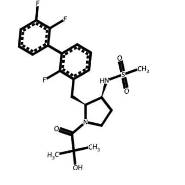 CC(C)(O)C(=O)N1CC[C@H](NS(C)(=O)=O)[C@@H]1Cc1cccc(-c2cccc(F)c2F)c1F